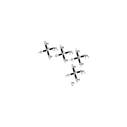 N[N+]([O-])(O)O.N[N+]([O-])(O)O.N[N+]([O-])(O)O.N[N+]([O-])(O)O.[Pt]